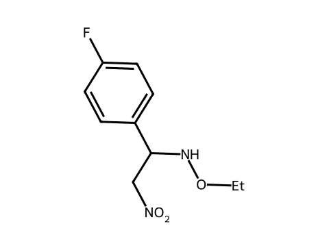 CCONC(C[N+](=O)[O-])c1ccc(F)cc1